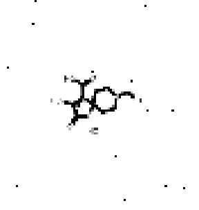 CCN1CCC2(CC1)OC(=O)C(C)=C2C(=O)O.Cl